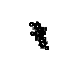 O=C1C[C@]2(C(=O)Nc3ccc(Cl)cc32)c2cnn(Cc3ccc(Cl)cc3Cl)c2N1